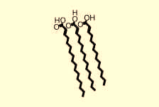 CCCCCCCCCCCC/C=C/C(=O)O.CCCCCCCCCCCCC/C=C/C(=O)O.CCCCCCCCCCCCCC/C=C/C(=O)O